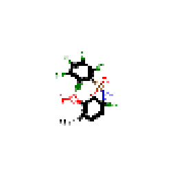 COC1=C(O)CC(Br)(NS(=O)(=O)c2c(F)c(F)c(F)c(F)c2F)C=C1